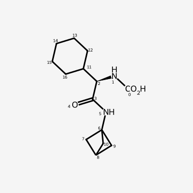 O=C(O)N[C@@H](C(=O)NC12CC(C1)C2)C1CCCCC1